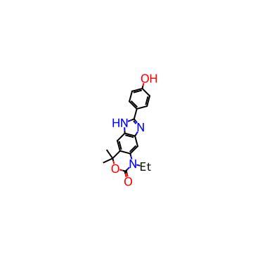 CCN1C(=O)OC(C)(C)c2cc3[nH]c(-c4ccc(O)cc4)nc3cc21